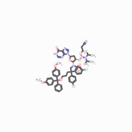 COc1ccc(C(OCCCC(CN(C(=O)O)[C@@H]2O[C@@H](n3cnc4c(=O)[nH]cnc43)C[C@H]2OP(OCCC#N)N(C(C)C)C(C)C)(c2ccc(Cl)cc2)c2ccc(Cl)cc2)(c2ccccc2)c2ccc(OC)cc2)cc1